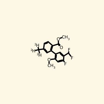 [2H]C([2H])([2H])c1ccc(C(=O)OC)c(-c2cc(C(F)F)c(F)cc2OC)c1